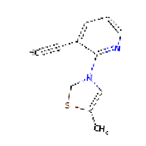 C#Cc1cccnc1N1C=C(C)SC1